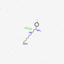 CCCCCCCCCCCCCCCCNCCC(N)c1ccc(F)cc1.Cl.Cl